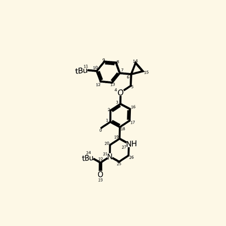 Cc1cc(OCC2(c3ccc(C(C)(C)C)cc3)CC2)ccc1C1CN(C(=O)C(C)(C)C)CCN1